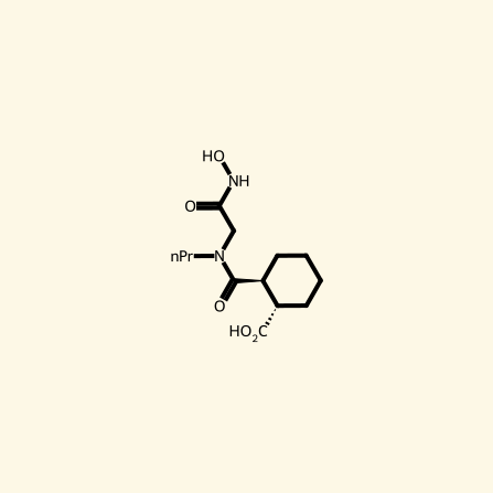 CCCN(CC(=O)NO)C(=O)[C@H]1CCCC[C@@H]1C(=O)O